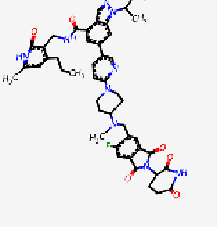 CCCc1cc(C)[nH]c(=O)c1CNC(=O)c1cc(-c2ccc(N3CCC(N(C)Cc4cc5c(cc4F)C(=O)N(C4CCC(=O)NC4=O)C5=O)CC3)nc2)cc2c1cnn2C(C)C